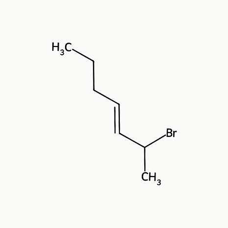 CCC/C=C/C(C)Br